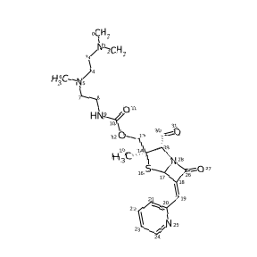 CN(C)CCN(C)CCNC(=O)OC[C@]1(C)SC2/C(=C\c3ccccn3)C(=O)N2[C@H]1C=O